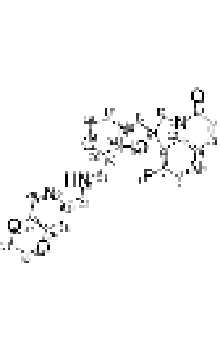 O=c1ccc2ncc(F)c3c2n1C[C@@]3(O)CN1CCO[C@@H](CNCc2cc3c(cn2)OCCO3)C1